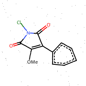 COC1=C(c2ccccc2)C(=O)N(Cl)C1=O